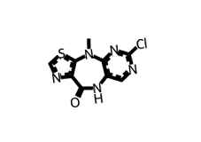 CN1c2nc(Cl)ncc2NC(=O)c2ncsc21